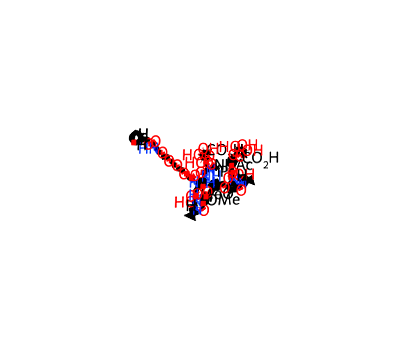 COc1cc2c(cc1OCc1cccc(COc3cc4c(cc3OC)C(=O)N3CC5(CC5)C[C@H]3[C@H](O)N4C(=O)OCc3ccc(NC(=O)[C@H](CO[C@@H]4O[C@H](C(=O)O)[C@@H](O)[C@H](O)[C@H]4O)NC(=O)[C@@H](NC(C)=O)C(C)C)cc3NC(=O)CCOCCOCCOCCOCCNC(=O)OCC3[C@H]4CCC#CCC[C@@H]34)c1)N(C(=O)OCc1ccc(O[C@@H]3O[C@H](C(=O)O)[C@@H](O)[C@H](O)[C@H]3O)cc1)[C@@H](O)[C@@H]1CC3(CC3)CN1C2=O